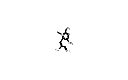 C=C/C(C)=C\c1c(N)nc(C)n1I